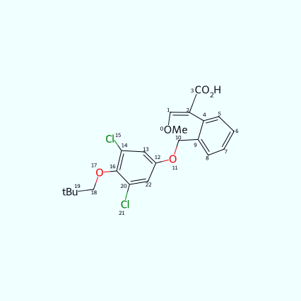 CO/C=C(/C(=O)O)c1ccccc1COc1cc(Cl)c(OCC(C)(C)C)c(Cl)c1